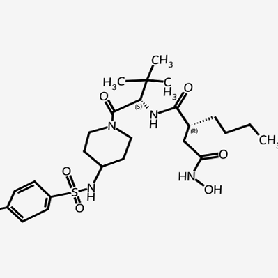 CCCC[C@H](CC(=O)NO)C(=O)N[C@H](C(=O)N1CCC(NS(=O)(=O)c2ccc(F)cc2)CC1)C(C)(C)C